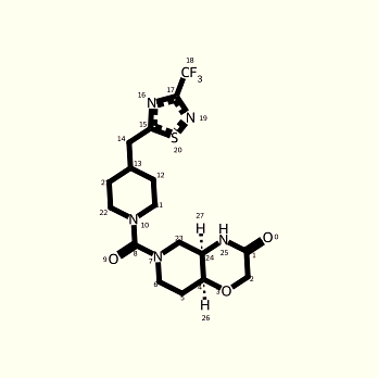 O=C1CO[C@H]2CCN(C(=O)N3CCC(Cc4nc(C(F)(F)F)ns4)CC3)C[C@H]2N1